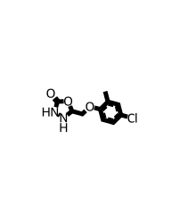 Cc1cc(Cl)ccc1OCC1NNC(=O)O1